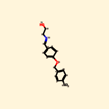 O=[N+]([O-])c1ccc(COc2ccc(C=NCCO)cc2)cc1